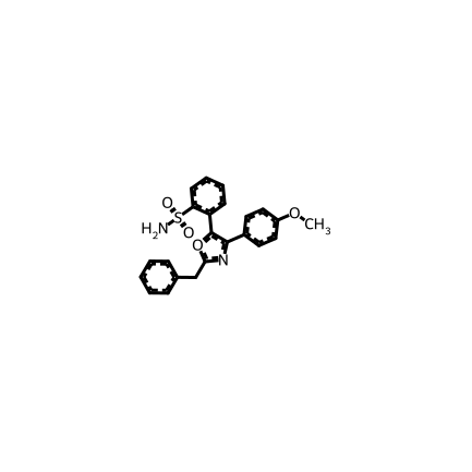 COc1ccc(-c2nc(Cc3ccccc3)oc2-c2ccccc2S(N)(=O)=O)cc1